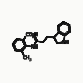 Cc1cccc(C(=O)O)c1NC(=O)CCC1CNc2ccccc21